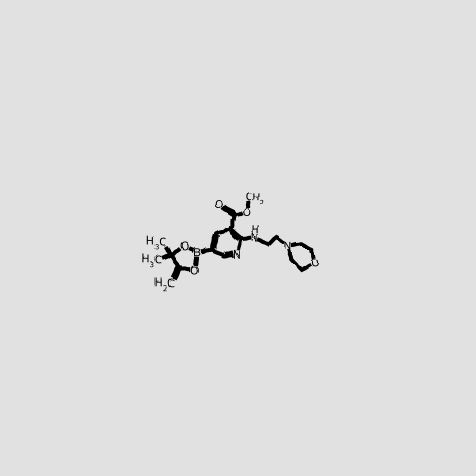 C=C1OB(c2cnc(NCCN3CCOCC3)c(C(=O)OC)c2)OC1(C)C